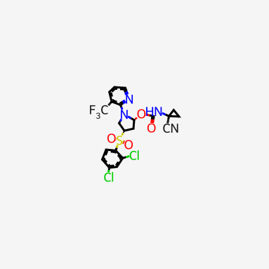 N#CC1(NC(=O)O[C@H]2C[C@@H](S(=O)(=O)c3ccc(Cl)cc3Cl)CN2c2ncccc2C(F)(F)F)CC1